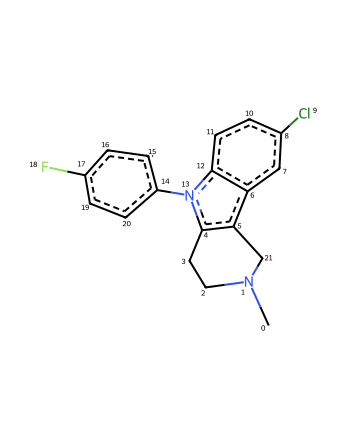 CN1CCc2c(c3cc(Cl)ccc3n2-c2[c]cc(F)cc2)C1